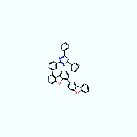 c1ccc(-c2nc(-c3ccccc3)nc(-c3cccc(-c4cccc5oc6c(-c7ccc8oc9ccccc9c8c7)cccc6c45)c3)n2)cc1